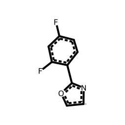 Fc1ccc(-c2n[c]co2)c(F)c1